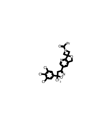 CC(C)C(=O)N1CC2(C1)OCc1cc(C3=NOC(c4cc(Cl)c(Cl)c(Cl)c4)(C(F)(F)F)C3)cnc12